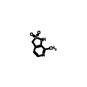 Cc1nccc2c1NS(=O)(=O)C2